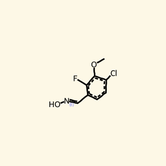 COc1c(Cl)ccc(/C=N/O)c1F